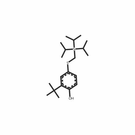 CC(C)[Si](CSc1ccc(O)c(C(C)(C)C)c1)(C(C)C)C(C)C